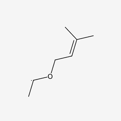 C[CH]OCC=C(C)C